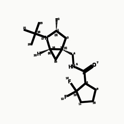 C[C@@H]1C[C@@]2(CNC(=O)C3CCCC3(F)F)C[C@H]2N1C(C)(C)C